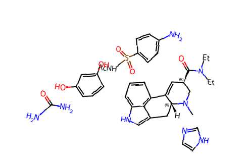 CC(=O)NS(=O)(=O)c1ccc(N)cc1.CCN(CC)C(=O)[C@@H]1C=C2c3cccc4[nH]cc(c34)C[C@H]2N(C)C1.NC(N)=O.Oc1cccc(O)c1.c1c[nH]cn1